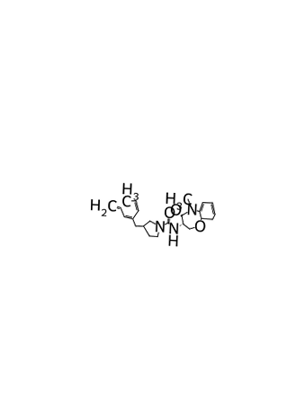 C=C/C=C(\C=C/C)CC1CCN(C(=O)N[C@H]2COC3CC=CC=C3N(C)C2=O)C1